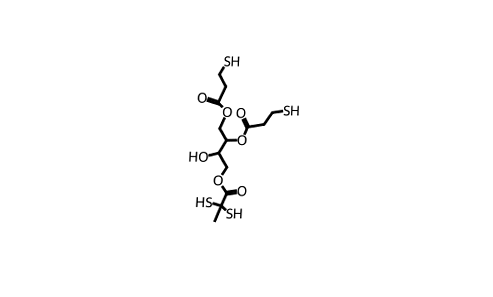 CC(S)(S)C(=O)OCC(O)C(COC(=O)CCS)OC(=O)CCS